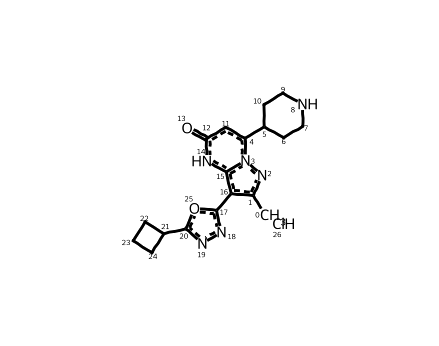 Cc1nn2c(C3CCNCC3)cc(=O)[nH]c2c1-c1nnc(C2CCC2)o1.Cl